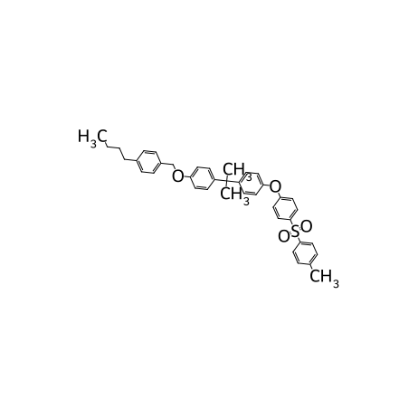 CCCCc1ccc(COc2ccc(C(C)(C)c3ccc(Oc4ccc(S(=O)(=O)c5ccc(C)cc5)cc4)cc3)cc2)cc1